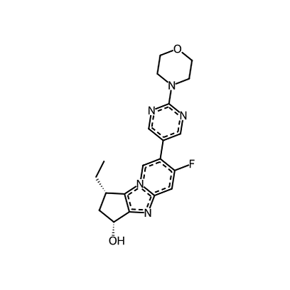 CC[C@H]1C[C@@H](O)c2nc3cc(F)c(-c4cnc(N5CCOCC5)nc4)cn3c21